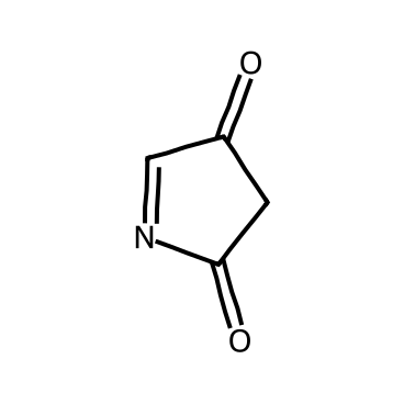 O=C1C=NC(=O)C1